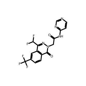 O=C(Cn1nc(C(F)F)c2cc(C(F)(F)F)ccc2c1=O)Nc1ccncn1